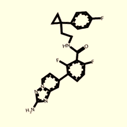 Nc1nc2cc(-c3ccc(F)c(C(=O)NCCC4(c5ccc(F)cc5)CC4)c3F)ccn2n1